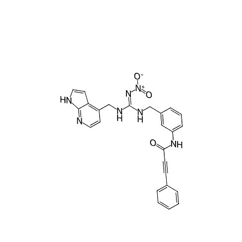 O=C(C#Cc1ccccc1)Nc1cccc(CNC(=N[N+](=O)[O-])NCc2ccnc3[nH]ccc23)c1